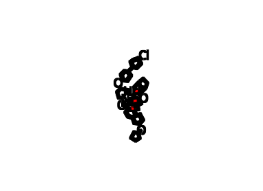 CC(C)(C)OC(=O)NC1C2CCC1CN(C(=O)[C@@H]1C[C@H](Oc3ccc(-c4ccc(Cl)cc4)cc3)CCN1S(=O)(=O)c1ccc3cc(OC4CCCC4)ccc3c1)C2